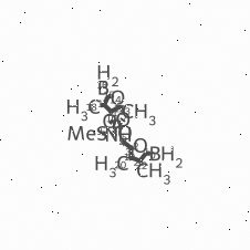 BC1OC(COP(=O)(NSC)OC2C(C)OC(B)C2C)C(C)C1C